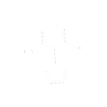 Nc1cccc(O)c1-c1ccco1